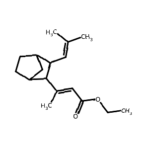 CCOC(=O)C=C(C)C1C2CCC(C2)C1C=C(C)C